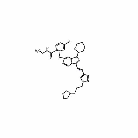 CCNC(=O)c1ccc(F)cc1Sc1ccc2c(/C=C/c3cnn(CCCN4CCCC4)c3)nn(C3CCCCO3)c2c1